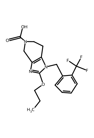 CCCOc1nc2c(n1Cc1ccccc1C(F)(F)F)CCN(C(=O)O)C2